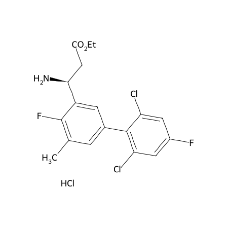 CCOC(=O)C[C@H](N)c1cc(-c2c(Cl)cc(F)cc2Cl)cc(C)c1F.Cl